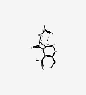 CCC1=C(C(C)=O)N2C(=O)[C@@H](NC(C)=O)[C@H]2SC1